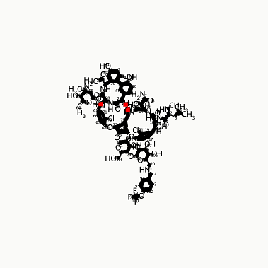 CN[C@H](CC(C)C)C(=O)N[C@H]1C(=O)N[C@@H](CC(N)=O)C(=O)N[C@H]2C(=O)N[C@H]3C(=O)N[C@H](C(=O)N[C@@H](C(=O)O)c4cc(O)cc(O)c4-c4cc3ccc4O)[C@H](OC3C[C@](C)(N)[C@@H](O)[C@H](C)O3)c3ccc(c(Cl)c3)Oc3cc2cc(c3O[C@@H]2O[C@H](CO)[C@@H](O[C@@H]3O[C@H](CNCc4ccc(OC(F)(F)F)cc4)[C@H](O)[C@H](O)[C@H]3O)[C@H](O)[C@H]2O)Oc2ccc(cc2Cl)[C@H]1O